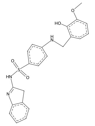 COc1cccc(CNc2ccc(S(=O)(=O)NC3=Nc4ccccc4C3)cc2)c1O